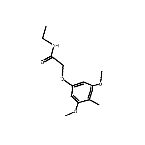 CCNC(=O)COc1cc(OC)c(C)c(OC)c1